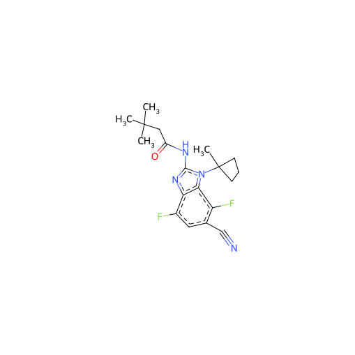 CC(C)(C)CC(=O)Nc1nc2c(F)cc(C#N)c(F)c2n1C1(C)CCC1